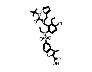 CCc1c(Cl)ccc(N(CC)S(=O)(=O)c2ccc3oc(C(=O)O)c(C)c3c2)c1CN(Cc1ccco1)C(=O)OC(C)(C)C